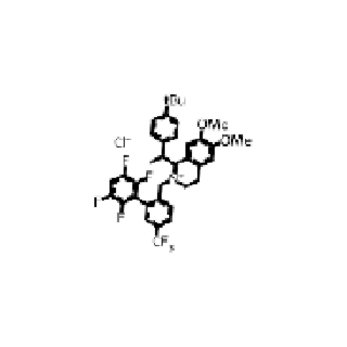 COc1cc2c(cc1OC)C(C(C)c1ccc(C(C)(C)C)cc1)=[N+](Cc1ccc(C(F)(F)F)cc1-c1c(F)c(F)cc(F)c1F)CC2.[Cl-]